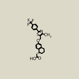 Cc1nc(-c2ccc(C(F)(F)F)cc2)sc1COc1ccc2c(c1)CCC[C@@H]2CC(=O)O